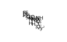 CC(C)c1cccc(-c2ccc3[nH]cc(NC(=O)Nc4ccc(C(F)(F)F)cc4)c3c2)c1